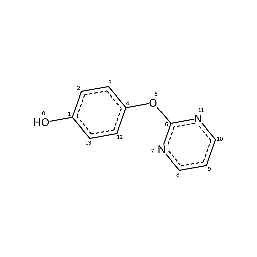 Oc1ccc(Oc2ncccn2)cc1